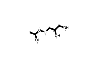 CC(O)OOCC(O)CO